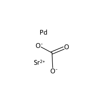 O=C([O-])[O-].[Pd].[Sr+2]